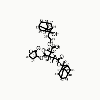 CC1(OC(=O)C(C)(C)C(C)(C(=O)OC2CCOC2=O)C(C)(C)C(=O)OCCC2(O)C3CC4CC(C3)CC2C4)C2CC3CC(C2)CC1C3